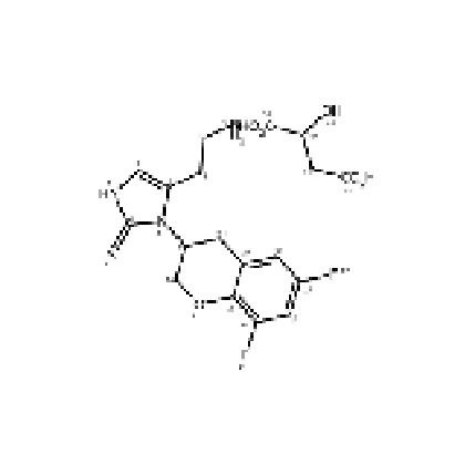 NCCc1c[nH]c(=S)n1C1COc2c(F)cc(F)cc2C1.O=C(O)CC(O)C(=O)O